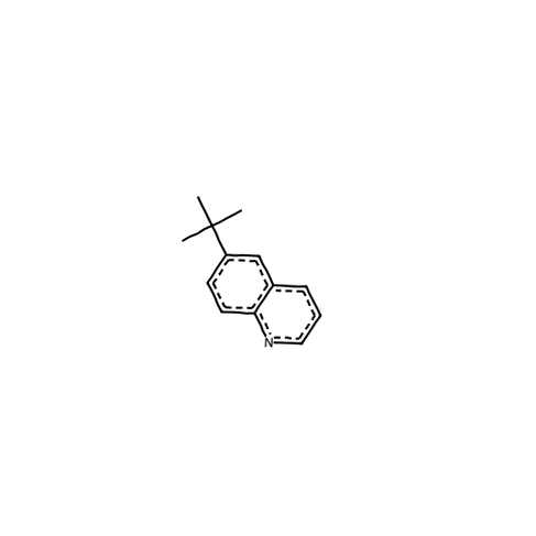 CC(C)(C)c1ccc2ncccc2c1